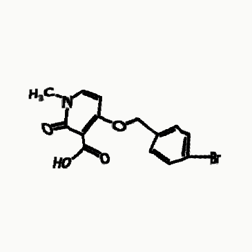 Cn1ccc(OCc2ccc(Br)cc2)c(C(=O)O)c1=O